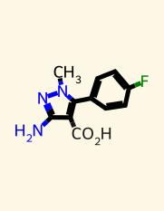 Cn1nc(N)c(C(=O)O)c1-c1ccc(F)cc1